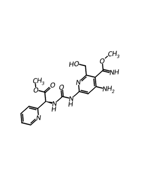 COC(=N)c1c(N)cc(NC(=O)N[C@H](C(=O)OC)c2ccccn2)nc1CO